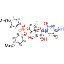 COc1ccc(OP(=O)(OC[C@@]2(C(F)F)O[C@@H](n3cc(Cl)c(N)nc3=O)[C@@H](O)[C@@H]2O)Oc2ccc(OC)cc2)cc1